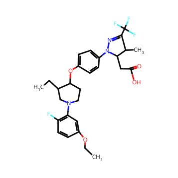 CCOc1ccc(F)c(N2CCC(Oc3ccc(N4N=C(C(F)(F)F)C(C)C4CC(=O)O)cc3)C(CC)C2)c1